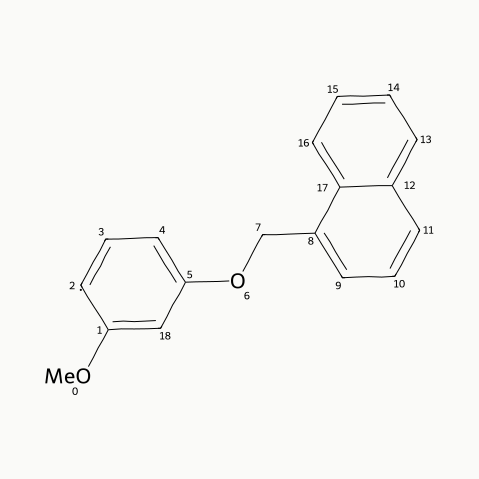 COc1[c]ccc(OCc2cccc3ccccc23)c1